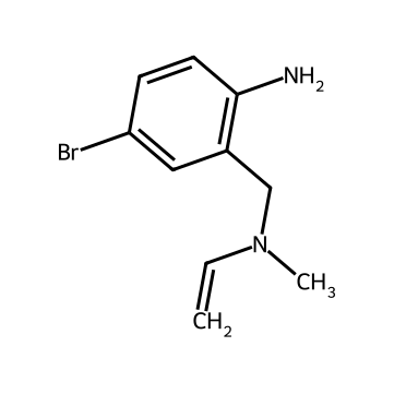 C=CN(C)Cc1cc(Br)ccc1N